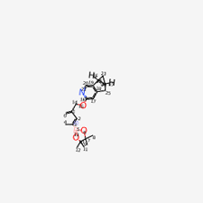 C=C(/C=C(\C)B1OC(C)(C)C(C)(C)O1)COc1cc2c(cn1)[C@@H]1C[C@@H]1C2